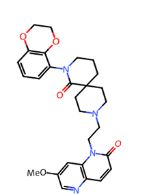 COc1cnc2ccc(=O)n(CCN3CCC4(CCCN(c5cccc6c5OCCO6)C4=O)CC3)c2c1